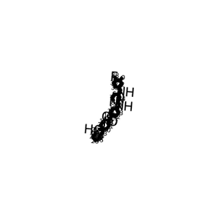 Cc1cc(Nc2ccnc(Nc3ccc(S(=O)(=O)N4CCC(O)(CN5CCC[C@@H]5C)CC4)cc3)n2)ccc1F